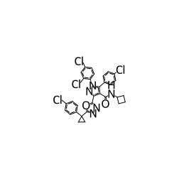 O=C(NC1CCC1)c1c(-c2nnc(C3(c4ccc(Cl)cc4)CC3)o2)nn(-c2ccc(Cl)cc2Cl)c1-c1ccc(Cl)cc1